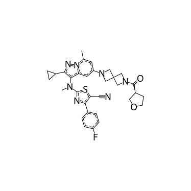 Cc1cc(N2CC3(CN(C(=O)[C@H]4CCOC4)C3)C2)cc2c(N(C)c3nc(-c4ccc(F)cc4)c(C#N)s3)c(C3CC3)nn12